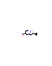 NC(=O)c1ccn2nc(C3CC3)cc2c1